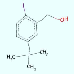 CC(C)(C)c1ccc(I)c(CO)c1